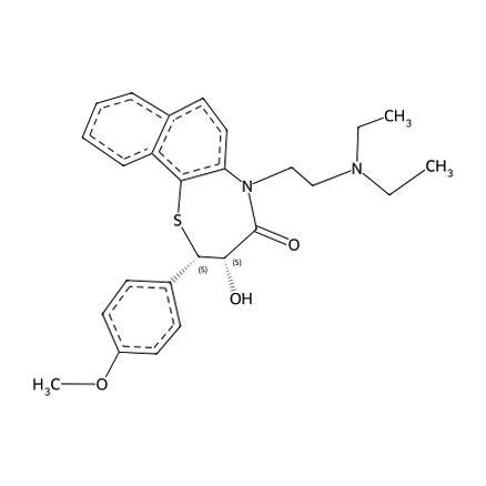 CCN(CC)CCN1C(=O)[C@H](O)[C@H](c2ccc(OC)cc2)Sc2c1ccc1ccccc21